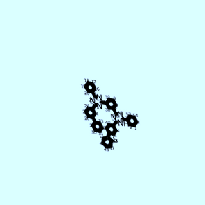 c1ccc(C2=NC(c3cccc(-c4nc(-c5ccccc5)nc(-c5cccc(-c6ccccc6)c5)n4)c3)=NC(c3ccc4c(c3)sc3ccccc34)N2)cc1